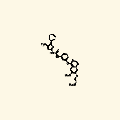 COCCOc1cc2ncnc(Oc3cccc(NC(=O)Nc4cc(C(F)(F)F)n(-c5ccccc5)n4)c3)c2cc1OC